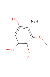 COc1cc(O)cc(OC)c1OC.[NaH]